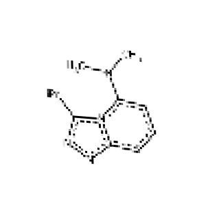 CC(C)c1nnc2cccc(N(C)C)n12